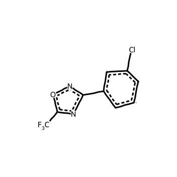 FC(F)(F)c1nc(-c2c[c]cc(Cl)c2)no1